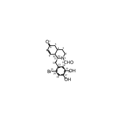 O=CN1CCC2CC(=O)C=CC2[C@@H]1Cc1cc(O)c(O)cc1Br